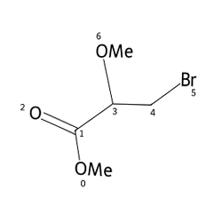 COC(=O)C(CBr)OC